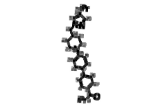 CC(C)C(=O)c1ccc(-c2ccc(N3CCC(Cn4cc(C(C)C)cn4)CC3)cc2)cc1